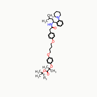 CC(C)CC(NC(=O)Cc1ccc(OCCCCOc2ccc(OC(C)(C)C(=O)OC(C)(C)C)cc2)cc1)c1ccccc1N1CCCCC1